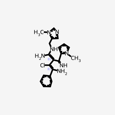 Cn1cncc1CN/C(N)=C(C(=N)c1cccn1C)/C(Cl)=C(\N)c1ccccc1